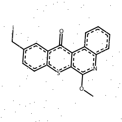 COc1nc2ccccc2c2c(=O)c3cc(CI)ccc3sc12